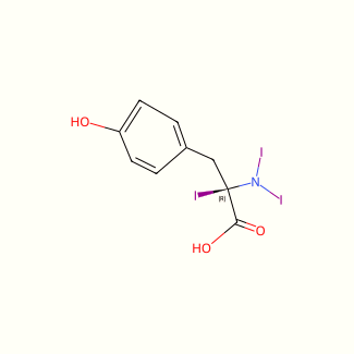 O=C(O)[C@](I)(Cc1ccc(O)cc1)N(I)I